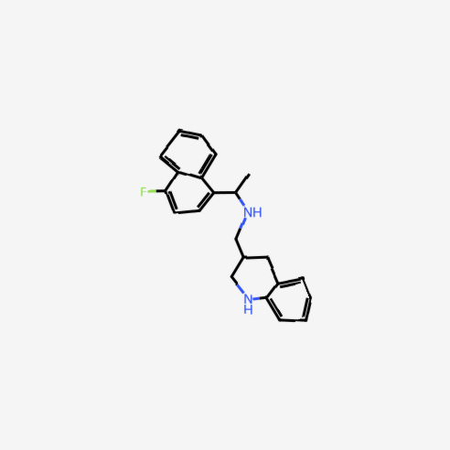 CC(NCC1CNc2ccccc2C1)c1ccc(F)c2ccccc12